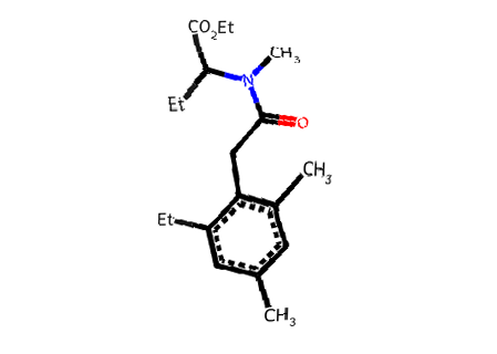 CCOC(=O)C(CC)N(C)C(=O)Cc1c(C)cc(C)cc1CC